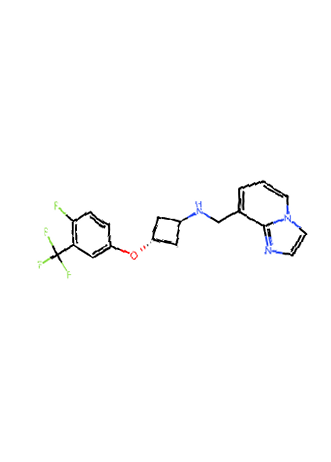 Fc1ccc(O[C@H]2C[C@H](NCc3cccn4ccnc34)C2)cc1C(F)(F)F